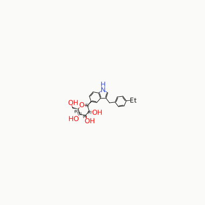 CCc1ccc(Cc2c[nH]c3ccc([C@@H]4O[C@H](CO)[C@@H](O)[C@H](O)[C@H]4O)cc23)cc1